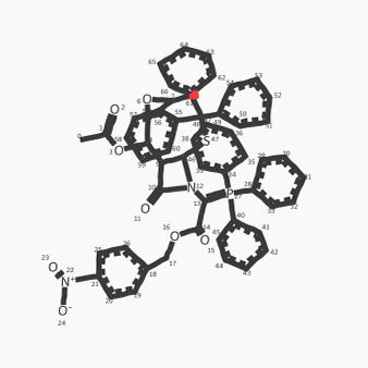 CC(=O)OC(C1OC1C)C1C(=O)N(C(C(=O)OCc2ccc([N+](=O)[O-])cc2)=P(c2ccccc2)(c2ccccc2)c2ccccc2)C1SC(c1ccccc1)(c1ccccc1)c1ccccc1